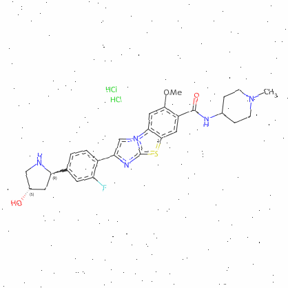 COc1cc2c(cc1C(=O)NC1CCN(C)CC1)sc1nc(-c3ccc([C@H]4C[C@H](O)CN4)cc3F)cn12.Cl.Cl